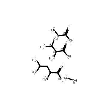 CC(C)CC(N)C(=O)O.CC(O)C(N)C(=O)O.CO.NCC(=O)O